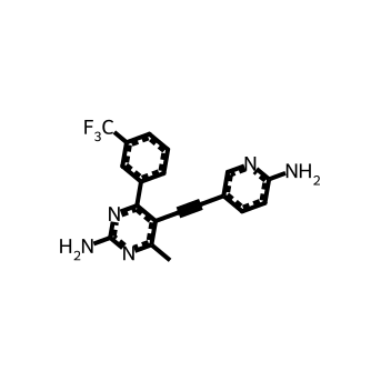 Cc1nc(N)nc(-c2cccc(C(F)(F)F)c2)c1C#Cc1ccc(N)nc1